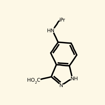 CC(C)Nc1ccc2[nH]nc(C(=O)O)c2c1